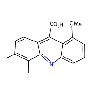 COc1cccc2nc3c(C)c(C)ccc3c(C(=O)O)c12